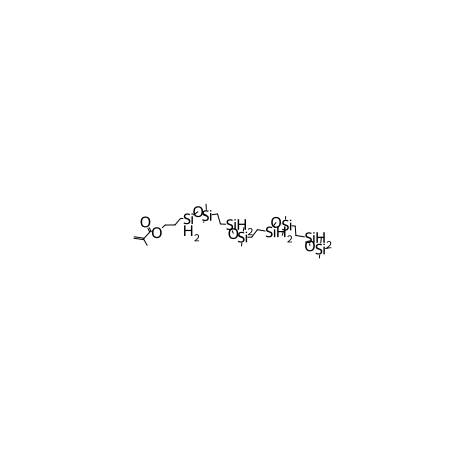 C=C(C)C(=O)OCCC[SiH2]O[Si](C)(C)CC[SiH2]O[Si](C)(C)CC[SiH2]O[Si](C)(C)CC[SiH2]O[Si](C)(C)C